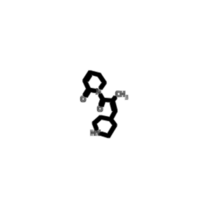 C/C(=C/C1CCNCC1)C(=O)N1CCC=CC1=O